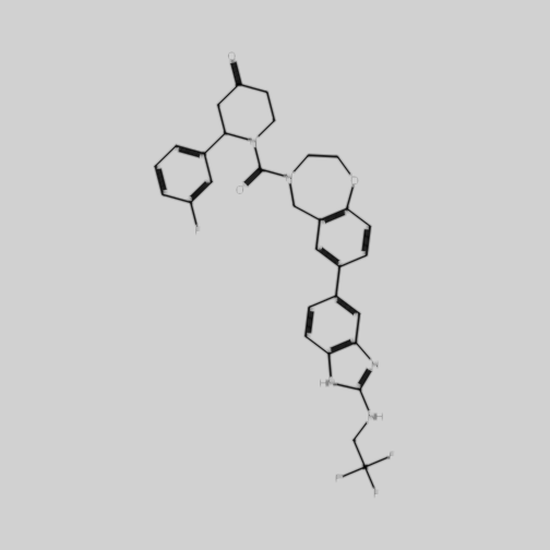 O=C1CCN(C(=O)N2CCOc3ccc(-c4ccc5[nH]c(NCC(F)(F)F)nc5c4)cc3C2)C(c2cccc(F)c2)C1